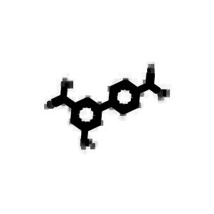 Nc1cc(C(=O)O)cc(-c2ccc(C(=O)O)cc2)c1